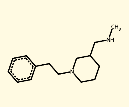 CNCC1CCCN(CCc2ccccc2)C1